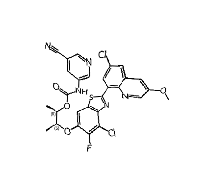 COc1cnc2c(-c3nc4c(Cl)c(F)c(O[C@@H](C)[C@@H](C)OC(=O)Nc5cncc(C#N)c5)cc4s3)cc(Cl)cc2c1